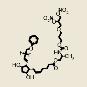 C[C@@H](COC(=O)CCC/C=C\C[C@@H]1[C@@H](/C=C/C(F)(F)COc2ccccc2)[C@H](O)C[C@@H]1O)NC(=O)OCCCOCC(CO[N+](=O)[O-])O[N+](=O)[O-]